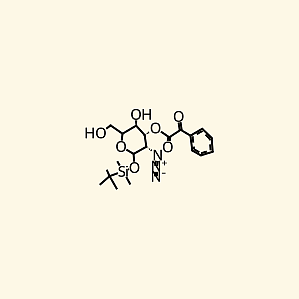 CC(C)(C)[Si](C)(C)OC1OC(CO)[C@@H](O)[C@H](OC(=O)C(=O)c2ccccc2)[C@@H]1N=[N+]=[N-]